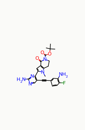 Cn1c(-c2nc(N)ncc2C#Cc2ccc(F)c(N)c2)cc2c1CCN(C(=O)OC(C)(C)C)C2=O